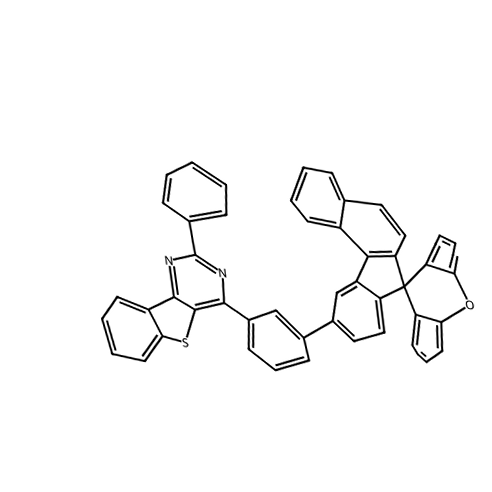 c1ccc(-c2nc(-c3cccc(-c4ccc5c(c4)-c4c(ccc6ccccc46)C54c5ccccc5Oc5ccccc54)c3)c3sc4ccccc4c3n2)cc1